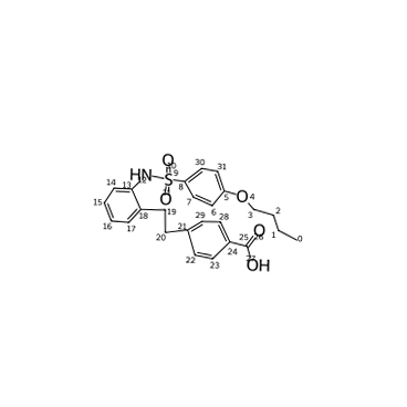 CCCCOc1ccc(S(=O)(=O)Nc2ccccc2CCc2ccc(C(=O)O)cc2)cc1